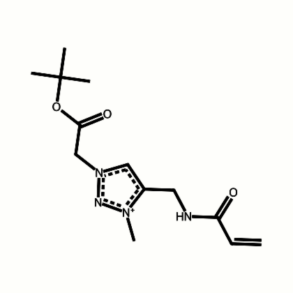 C=CC(=O)NCc1cn(CC(=O)OC(C)(C)C)n[n+]1C